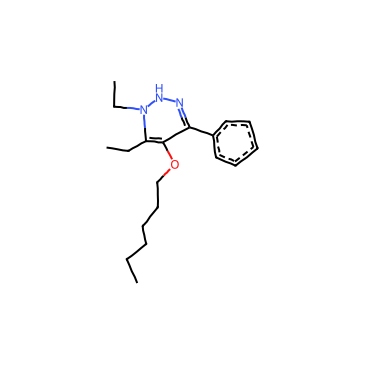 CCCCCCOC1=C(CC)N(CC)NN=C1c1ccccc1